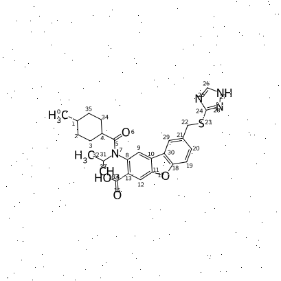 CC1CCC(C(=O)N(c2cc3c(cc2C(=O)O)oc2ccc(CSc4nc[nH]n4)cc23)C(C)C)CC1